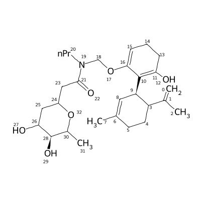 C=C(C)C1CCC(C)=C[C@H]1C1=C(O)CCC=C1OCN(CCC)C(=O)CC1CC(O)[C@H](O)C(C)O1